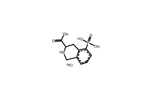 Cl.O=C(O)C1Cc2c(cccc2P(=O)(O)O)CN1